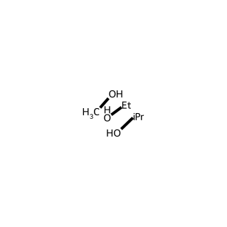 CC(C)O.CCO.CO